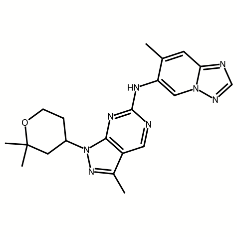 Cc1cc2ncnn2cc1Nc1ncc2c(C)nn(C3CCOC(C)(C)C3)c2n1